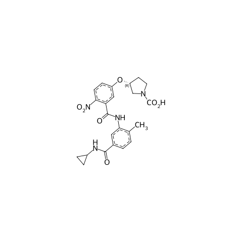 Cc1ccc(C(=O)NC2CC2)cc1NC(=O)c1cc(O[C@@H]2CCN(C(=O)O)C2)ccc1[N+](=O)[O-]